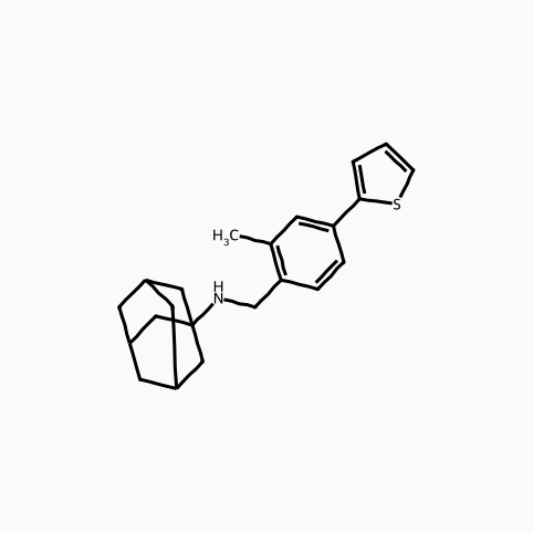 Cc1cc(-c2cccs2)ccc1CNC12CC3CC(CC(C3)C1)C2